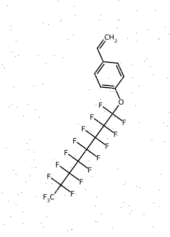 C=Cc1ccc(OC(F)(F)C(F)(F)C(F)(F)C(F)(F)C(F)(F)C(F)(F)C(F)(F)C(F)(F)F)cc1